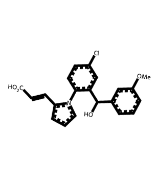 COc1cccc(C(O)c2cc(Cl)ccc2-n2cccc2/C=C/C(=O)O)c1